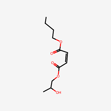 CCCCOC(=O)/C=C\C(=O)OCC(C)O